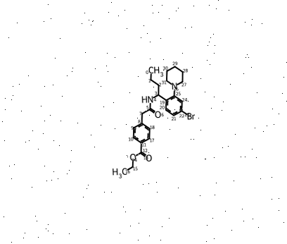 CCCC(NC(=O)Cc1ccc(C(=O)OCC)cc1)c1ccc(Br)cc1N1CCCCC1